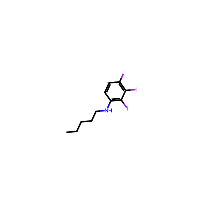 CCCCCNc1c[c]c(I)c(I)c1I